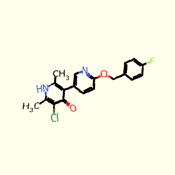 Cc1[nH]c(C)c(-c2ccc(OCc3ccc(F)cc3)nc2)c(=O)c1Cl